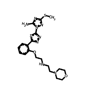 CSc1nc(N)n(-c2nnc(-c3ccccc3OCCNCCN3CCOCC3)s2)n1